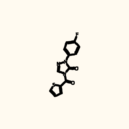 O=C(c1cccs1)n1cnn(-c2ccc(F)cc2)c1=O